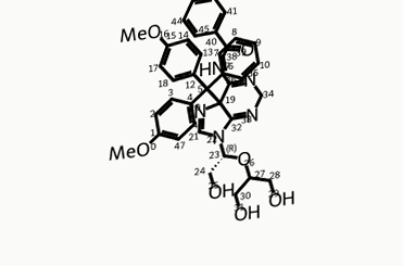 COc1ccc(C(c2ccccc2)(c2ccc(OC)cc2)C23N=CN([C@@H](CO)OC(CO)CO)C2=NCN=C3NC(=O)c2ccccc2)cc1